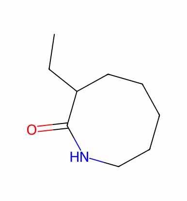 CCC1CCCCCNC1=O